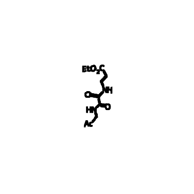 CCOC(=O)CCNC(=O)C(=O)NCC(C)=O